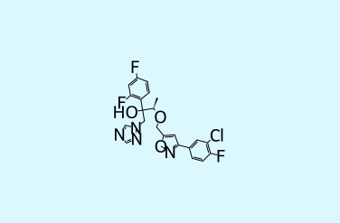 C[C@@H](OCc1cc(-c2ccc(F)c(Cl)c2)no1)C(O)(Cn1cncn1)c1ccc(F)cc1F